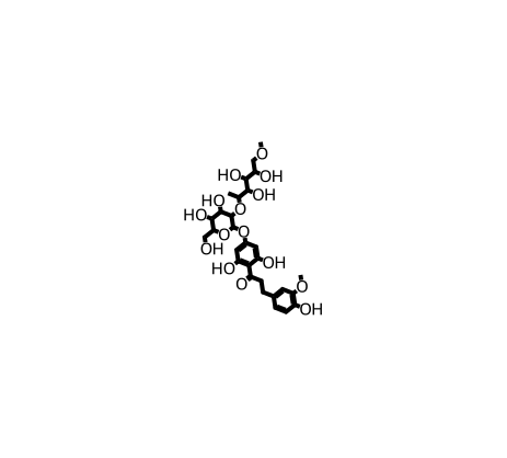 COCC(O)C(O)C(O)C(C)OC1C(Oc2cc(O)c(C(=O)CCc3ccc(O)c(OC)c3)c(O)c2)OC(CO)C(O)C1O